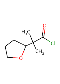 CC(C)(C(=O)Cl)C1CCCO1